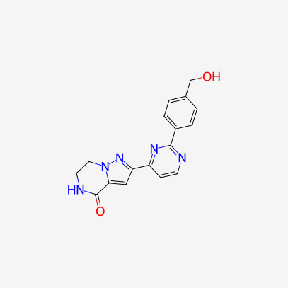 O=C1NCCn2nc(-c3ccnc(-c4ccc(CO)cc4)n3)cc21